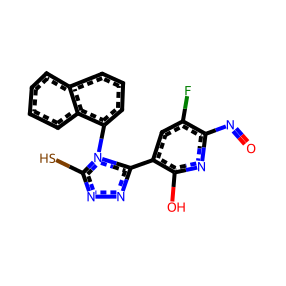 O=Nc1nc(O)c(-c2nnc(S)n2-c2cccc3ccccc23)cc1F